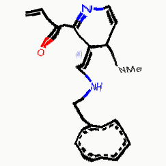 C=CC(=O)C1=NC=CC(NC)/C1=C\NCc1ccccc1